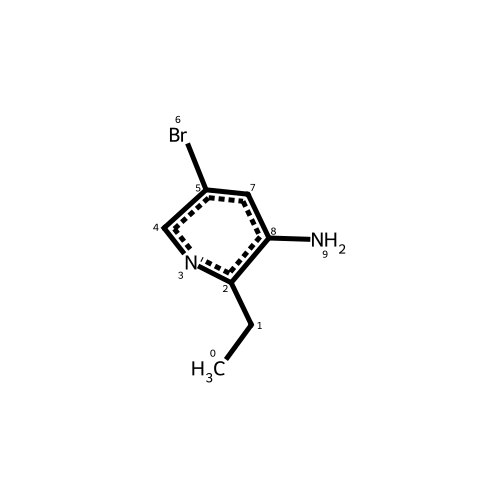 CCc1ncc(Br)cc1N